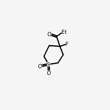 CCC(=O)C1(F)CCS(=O)(=O)CC1